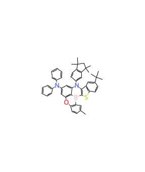 Cc1ccc2c(c1)B1c3sc4ccc(C(C)(C)C)cc4c3N(c3ccc4c(c3)C(C)(C)CC4(C)C)c3cc(N(c4ccccc4)c4ccccc4)cc(c31)O2